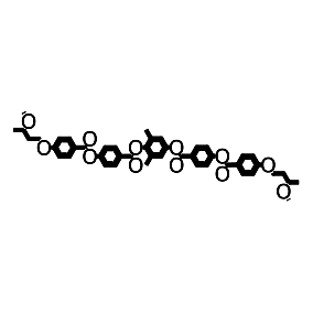 COC(C)CCOc1ccc(C(=O)Oc2ccc(C(=O)Oc3cc(C)c(OC(=O)c4ccc(OC(=O)c5ccc(OCCC(C)OC)cc5)cc4)c(C)c3)cc2)cc1